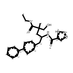 CCOC(=O)C(C)(CO)CC(Cc1ccc(-c2ccccc2)cc1)NC(=O)c1cnn[nH]1